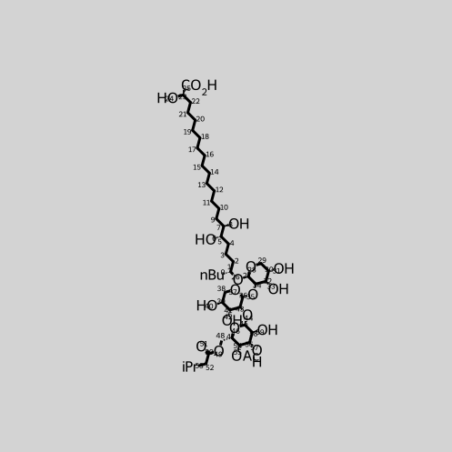 CCCC[C@H](CCC[C@H](O)[C@H](O)CCCCCCCCCCCCCC[C@@H](O)C(=O)O)O[C@H]1OC[C@H](O)[C@@H](O)[C@@H]1O[C@H]1OC[C@H](O)[C@@H](O)[C@@H]1O[C@H]1O[C@@H](COC(=O)CC(C)C)[C@H](OC(C)=O)[C@@H](O)[C@@H]1O